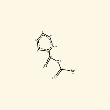 CC(=O)C(=O)OC(=O)c1ccccn1